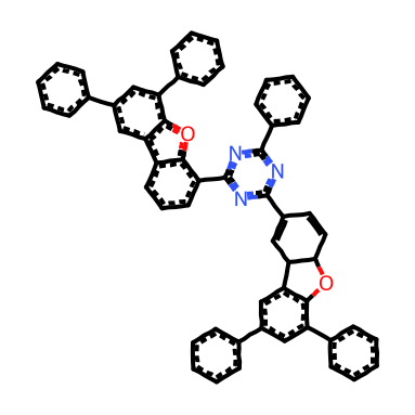 C1=CC2Oc3c(-c4ccccc4)cc(-c4ccccc4)cc3C2C=C1c1nc(-c2ccccc2)nc(-c2cccc3c2oc2c(-c4ccccc4)cc(-c4ccccc4)cc23)n1